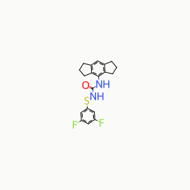 O=C(NSc1cc(F)cc(F)c1)Nc1c2c(cc3c1CCC3)CCC2